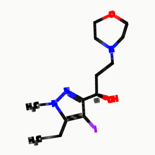 CCc1c(I)c([C@H](O)CCN2CCOCC2)nn1C